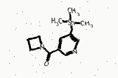 [CH3][Sn]([CH3])([CH3])[c]1cncc(C(=O)N2CCC2)c1